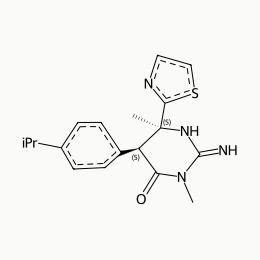 CC(C)c1ccc([C@@H]2C(=O)N(C)C(=N)N[C@]2(C)c2nccs2)cc1